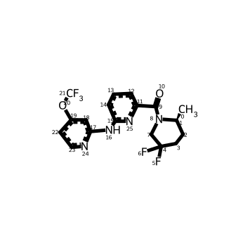 C[C@H]1CCC(F)(F)CN1C(=O)c1cccc(Nc2cc(OC(F)(F)F)ccn2)n1